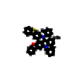 CCCCc1cc2c3c(c1)C1(C)CCCCC1(C)N3c1cc3c(oc4ccccc43)c3c1B2N(c1ccccc1C)c1cc2sc4ccccc4c2cc1-3